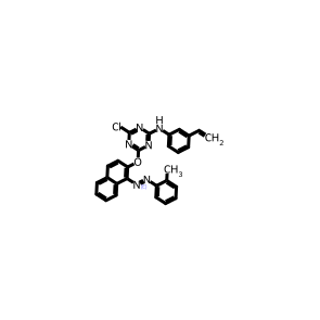 C=Cc1cccc(Nc2nc(Cl)nc(Oc3ccc4ccccc4c3/N=N/c3ccccc3C)n2)c1